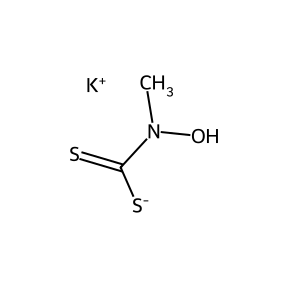 CN(O)C(=S)[S-].[K+]